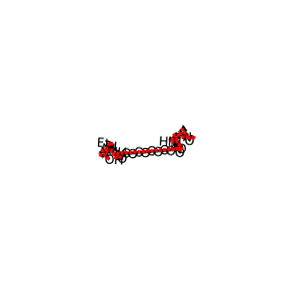 C=CC(=O)N1CCN([C@@H](CC2CC2)c2ccc([C@H](C)Nc3ncc4c(n3)N(CCOCCOCCOCCOCCOCCOCCOCCOCCn3cc(CNc5cc(N6CCCC[C@H]6CCO)nc6c(CC)cnn56)ccc3=O)C(=O)OC4)cc2)CC1